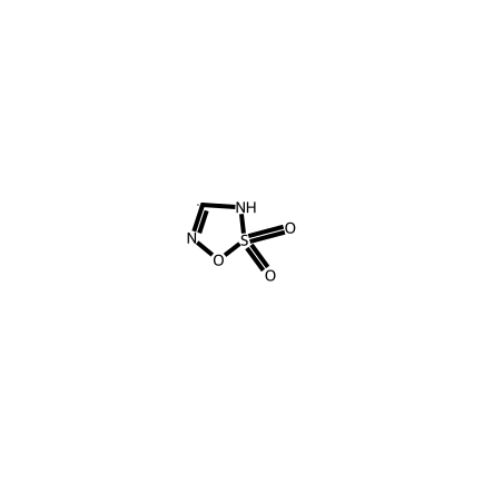 O=S1(=O)N[C]=NO1